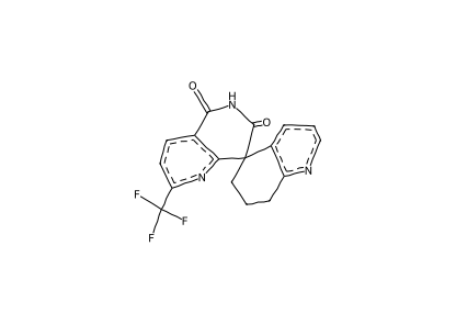 O=C1NC(=O)C2(CCCc3ncccc32)c2nc(C(F)(F)F)ccc21